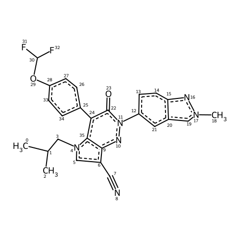 CC(C)Cn1cc(C#N)c2nn(-c3ccc4nn(C)cc4c3)c(=O)c(-c3ccc(OC(F)F)cc3)c21